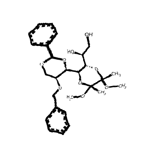 COC1(C)O[C@@H]([C@@H]2OC(c3ccccc3)OC[C@@H]2OCc2ccccc2)[C@H]([C@@H](O)CO)OC1(C)OC